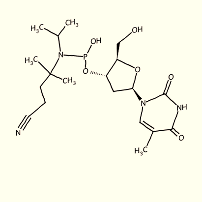 Cc1cn([C@H]2C[C@H](OP(O)N(C(C)C)C(C)(C)CCC#N)[C@@H](CO)O2)c(=O)[nH]c1=O